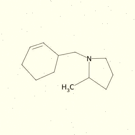 CC1CCCN1CC1C=CCCC1